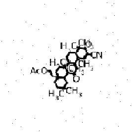 CC(=O)OCC[C@]12CCC(C)(C)CC1C1C(=O)C=C3[C@@]4(C)C=C(C#N)C(=O)C(C)(C)C4CC[C@@]3(C)[C@]1(C)CC2